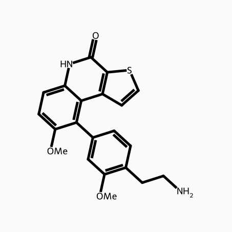 COc1cc(-c2c(OC)ccc3[nH]c(=O)c4sccc4c23)ccc1CCN